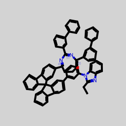 CCc1nc2ccccc2n1-c1cccc(-c2ccc3c(c2)C2(c4ccccc4-c4ccc(/C5=N/C(c6cccc(-c7ccccc7)c6)=N\C(c6cccc(-c7ccccc7)c6)=C/CC5)cc42)c2ccccc2-3)c1